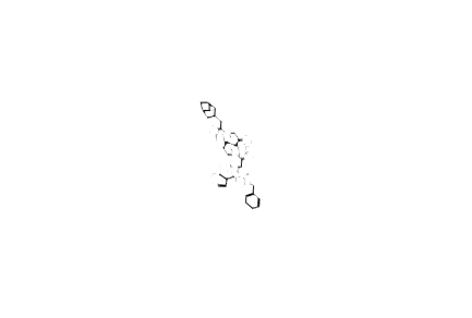 O=C(N[C@@H](CSCc1ccccc1)C(=O)N1CC[C@@H]2[C@H]1C(=O)CN2C(=O)CC1CC2CC(C1)C2)c1ccsc1